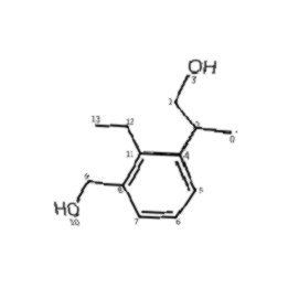 [CH2]C(CO)c1cccc(CO)c1CC